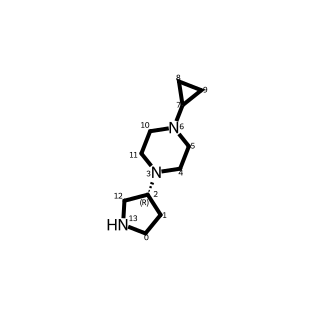 C1C[C@@H](N2CCN(C3CC3)CC2)CN1